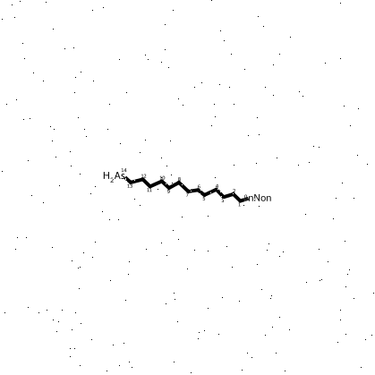 CCCCCCCCCCCCCCCCCCCCCC[AsH2]